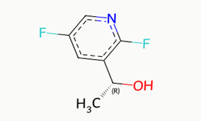 C[C@@H](O)c1cc(F)cnc1F